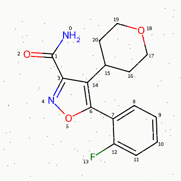 NC(=O)c1noc(-c2ccccc2F)c1C1CCOCC1